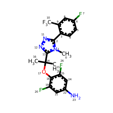 Cn1c(-c2ccc(F)cc2C(F)(F)F)nnc1C(C)(C)Oc1c(F)cc(N)cc1F